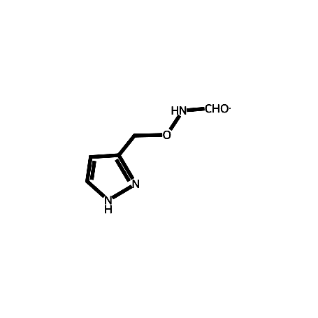 O=[C]NOCc1cc[nH]n1